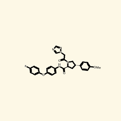 COc1ccc([C@@H]2C[C@@H](C(=O)Nc3ccc(Oc4ccc(F)cc4)cc3)N(C(=O)Cn3cncn3)C2)cc1